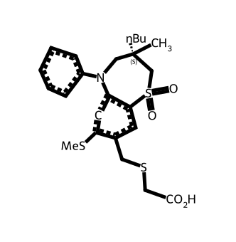 CCCC[C@@]1(C)CN(c2ccccc2)c2cc(SC)c(CSCC(=O)O)cc2S(=O)(=O)C1